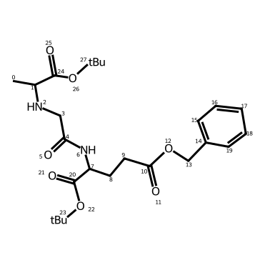 CC(NCC(=O)NC(CCC(=O)OCc1ccccc1)C(=O)OC(C)(C)C)C(=O)OC(C)(C)C